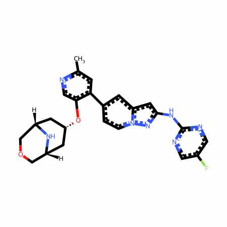 Cc1cc(-c2ccn3nc(Nc4ncc(F)cn4)cc3c2)c(O[C@H]2C[C@H]3COC[C@@H](C2)N3)cn1